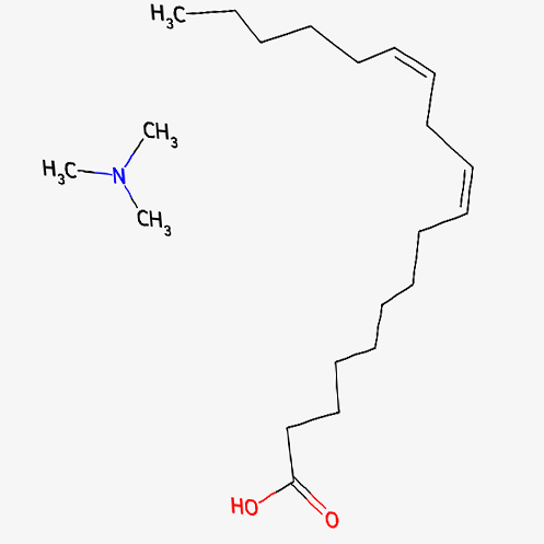 CCCCC/C=C\C/C=C\CCCCCCCC(=O)O.CN(C)C